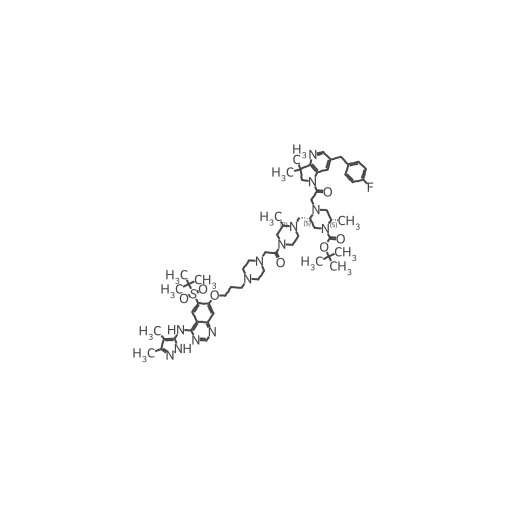 Cc1n[nH]c(Nc2ncnc3cc(OCCCN4CCN(CC(=O)N5CCN(C[C@H]6CN(C(=O)OC(C)(C)C)[C@@H](C)CN6CC(=O)N6CC(C)(C)c7ncc(Cc8ccc(F)cc8)cc76)[C@H](C)C5)CC4)c(S(=O)(=O)C(C)(C)C)cc23)c1C